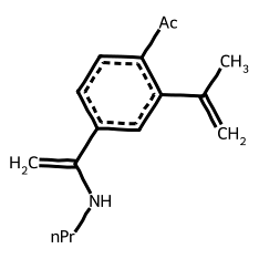 C=C(NCCC)c1ccc(C(C)=O)c(C(=C)C)c1